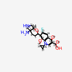 COc1c(C2CC[C@]3(N)CNC[C@H]3O2)c(F)cc2c(=O)c(C(=O)O)cn(C3CC3)c12